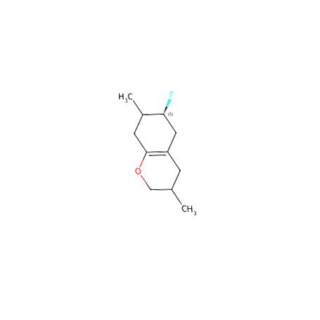 CC1COC2=C(C1)C[C@H](F)C(C)C2